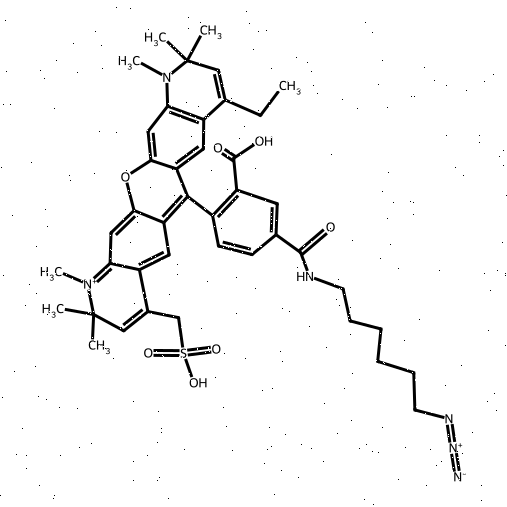 CCC1=CC(C)(C)N(C)c2cc3c(cc21)C(c1ccc(C(=O)NCCCCCCN=[N+]=[N-])cc1C(=O)O)=c1cc2c(cc1O3)=[N+](C)C(C)(C)C=C2CS(=O)(=O)O